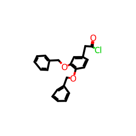 O=C(Cl)Cc1ccc(OCc2ccccc2)c(OCc2ccccc2)c1